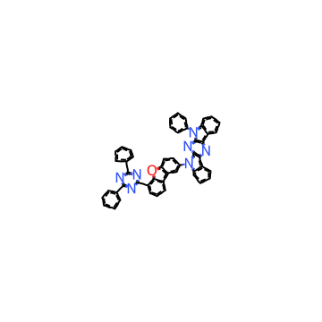 c1ccc(-c2nc(-c3ccccc3)nc(-c3cccc4c3oc3ccc(-n5c6ccccc6c6nc7c8ccccc8n(-c8ccccc8)c7nc65)cc34)n2)cc1